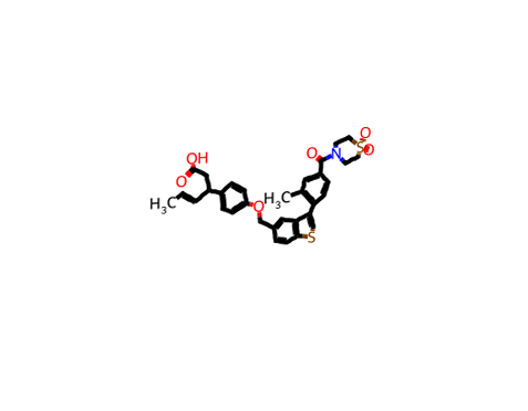 CC=CC(CC(=O)O)c1ccc(OCc2ccc3scc(-c4ccc(C(=O)N5CCS(=O)(=O)CC5)cc4C)c3c2)cc1